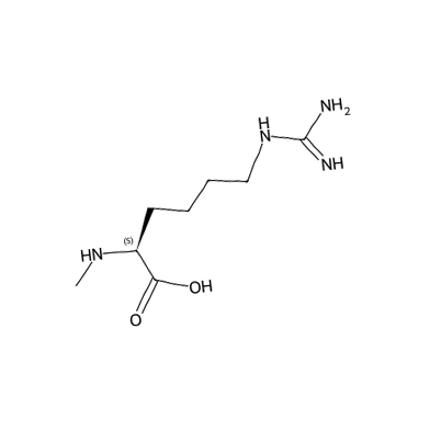 CN[C@@H](CCCCNC(=N)N)C(=O)O